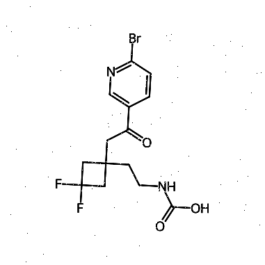 O=C(O)NCCC1(CC(=O)c2ccc(Br)nc2)CC(F)(F)C1